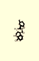 CC1CCc2nn(C(=O)[C@@H]3CCNc4c(Cl)cccc43)c(N)c2C1